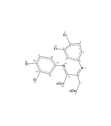 CCCCCCCCCCCC(=Nc1ccc(CC)c(CC)c1)C(CCCCCCCC)=Nc1ccc(CC)c(CC)c1